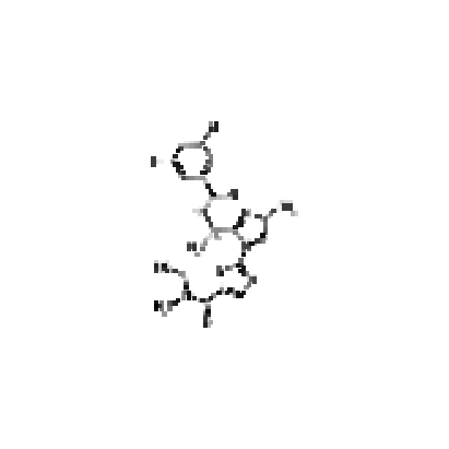 Cc1nc([C@H](C)NC(=O)c2cc(Cl)cc(I)c2)n(-c2ncc(C(=O)N(C)CC#N)s2)n1